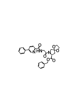 O=C(NCC(=O)N1CC2(C[C@H]1C(=O)OCc1ccccc1)OCCO2)c1ccc(-c2ccccc2)cn1